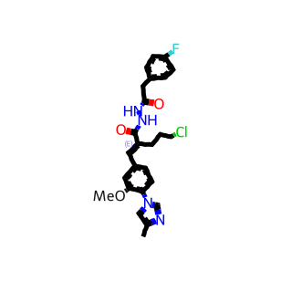 COc1cc(/C=C(\CCCCl)C(=O)NNC(=O)Cc2ccc(F)cc2)ccc1-n1cnc(C)c1